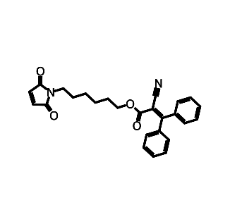 N#CC(C(=O)OCCCCCCN1C(=O)C=CC1=O)=C(c1ccccc1)c1ccccc1